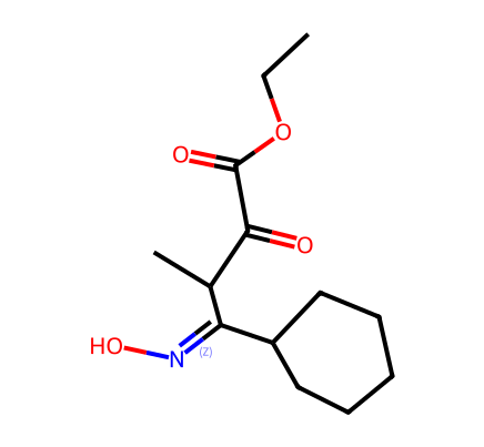 CCOC(=O)C(=O)C(C)/C(=N\O)C1CCCCC1